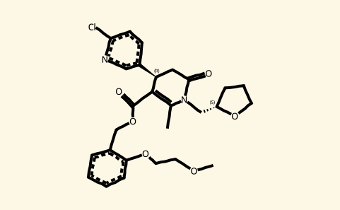 COCCOc1ccccc1COC(=O)C1=C(C)N(C[C@@H]2CCCO2)C(=O)C[C@@H]1c1ccc(Cl)nc1